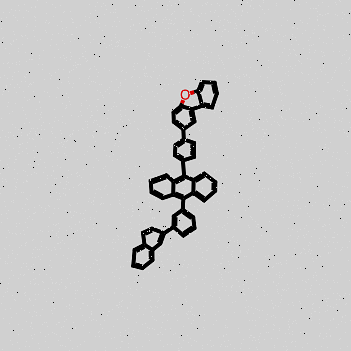 c1cc(-c2ccc3ccccc3c2)cc(-c2c3ccccc3c(-c3ccc(-c4ccc5oc6ccccc6c5c4)cc3)c3ccccc23)c1